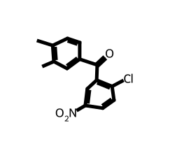 Cc1ccc(C(=O)c2cc([N+](=O)[O-])ccc2Cl)cc1C